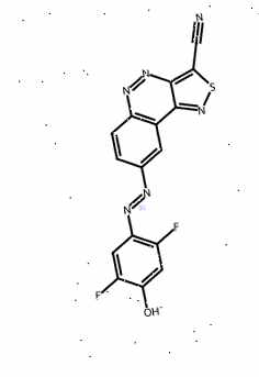 N#Cc1snc2c1nnc1ccc(/N=N/c3cc(F)c(O)cc3F)cc12